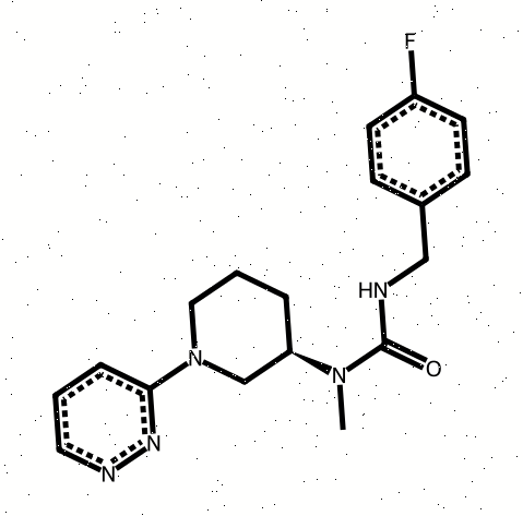 CN(C(=O)NCc1ccc(F)cc1)[C@@H]1CCCN(c2cccnn2)C1